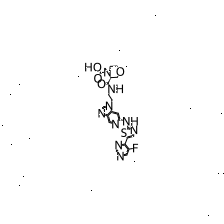 O=C(NCCn1cnc2cnc(Nc3ncc(-c4ncncc4F)s3)cc21)[C@@H]1COCCN1C(=O)O